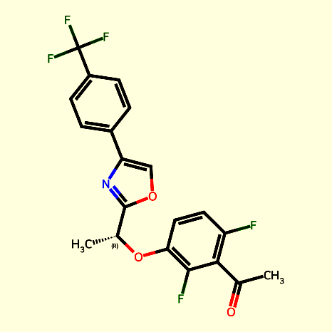 CC(=O)c1c(F)ccc(O[C@H](C)c2nc(-c3ccc(C(F)(F)F)cc3)co2)c1F